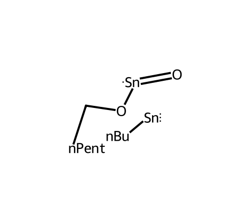 CCCCCC[O][Sn]=[O].CCC[CH2][Sn]